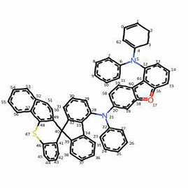 C1=CCCC(N(c2ccccc2)c2cccc3oc4cc(N(c5ccccc5)c5cccc6c5-c5ccccc5C65c6ccccc6Sc6c5ccc5ccccc65)ccc4c23)=C1